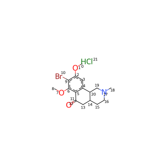 COc1cc2c(c(OC)c1Br)C(=O)CC1CCN(C)CC21.Cl